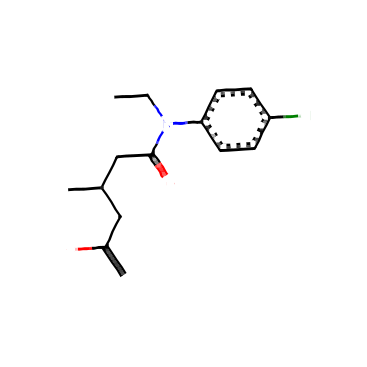 C=C(O)CC(C)CC(=O)N(CC)c1ccc(Cl)cc1